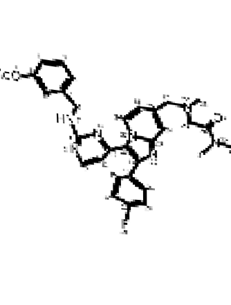 COc1cccc(CNc2nccc(-c3c(-c4ccc(F)cc4)nc4cc(CN(C)CC(=O)N(C)C)ccn34)n2)c1